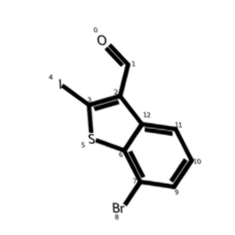 O=Cc1c(I)sc2c(Br)cccc12